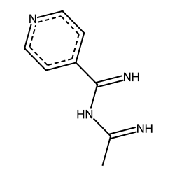 CC(=N)NC(=N)c1ccncc1